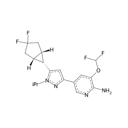 CC(C)n1nc(-c2cnc(N)c(OC(F)F)c2)cc1[C@@H]1[C@@H]2CC(F)(F)C[C@@H]21